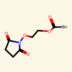 CCC(C)C(=O)OCCON1C(=O)CCC1=O